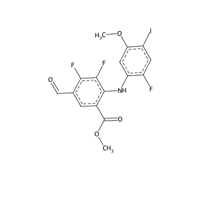 COC(=O)c1cc(C=O)c(F)c(F)c1Nc1cc(OC)c(I)cc1F